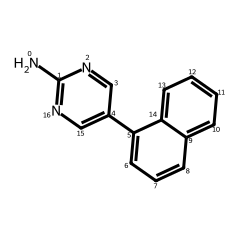 Nc1ncc(-c2cccc3ccccc23)cn1